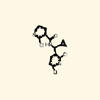 O=C(NC(c1ccc(Cl)nc1Cl)C1CC1)c1cccnc1Cl